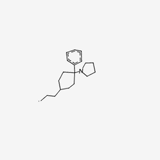 [CH2]CCC1CCC(c2ccccc2)(N2CCCC2)CC1